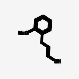 COc1ccccc1CC=CO